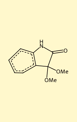 COC1(OC)C(=O)Nc2ccccc21